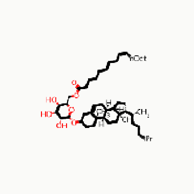 CCCCCCCC/C=C\CCCCCCCC(=O)OC[C@H]1O[C@@H](OC2CC[C@@]3(C)C(=CC[C@H]4[C@@H]5CC[C@H]([C@H](C)CCCC(C)C)[C@@]5(C)CC[C@@H]43)C2)[C@H](O)[C@@H](O)[C@H]1O